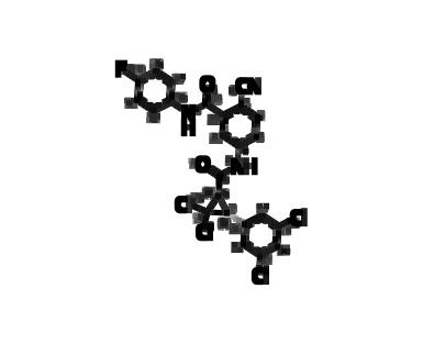 N#Cc1ccc(NC(=O)[C@H]2[C@H](c3cc(Cl)cc(Cl)c3)C2(Cl)Cl)cc1C(=O)Nc1ccc(F)cc1